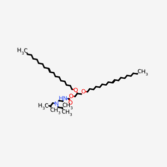 CCCCCCCCC=CCCCCCCCCOCC(COC(=O)NCCN(CC(C)C)CC(C)C)OCCCCCCCCC=CCCCCCCCC